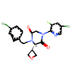 O=C1[C@H](C2COC2)N(Cc2ccc(Cl)cc2)C(=O)CN1c1ncc(Cl)cc1F